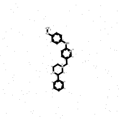 FC(F)(F)Oc1ccc(Nc2ccc(CN3CCOC(c4ccccc4)C3)cn2)cc1